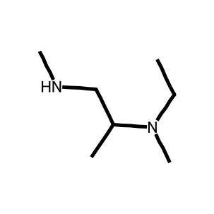 CCN(C)C(C)CNC